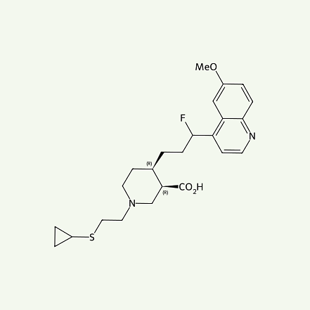 COc1ccc2nccc(C(F)CC[C@@H]3CCN(CCSC4CC4)C[C@@H]3C(=O)O)c2c1